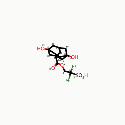 O=C(OCC(F)(F)S(=O)(=O)O)C12CC3CC(O)(CC(O)(C3)C1)C2